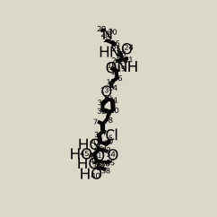 C=C(/C=C\C(Cl)=C(/C)Cc1ccc(OCCCC(=O)NC(C)(C)C(=O)NCCN(C)C)cc1)[C@]12OC[C@](C(C)(C)O)(O1)[C@@H](O)[C@H](O)[C@H]2O